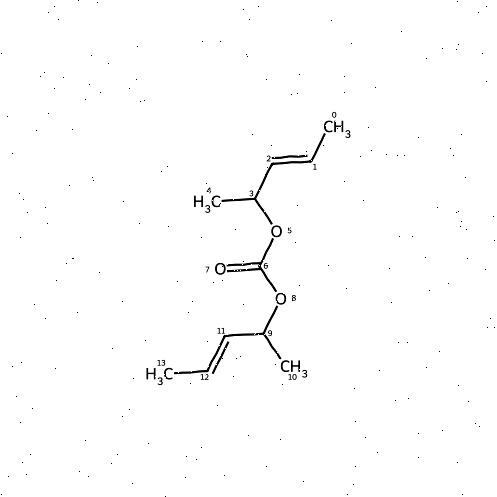 CC=CC(C)OC(=O)OC(C)C=CC